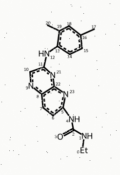 CCNC(=O)Nc1ccc2ncc(Nc3ccc(C)cc3C)nc2n1